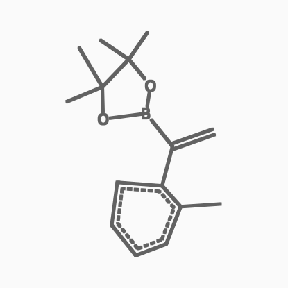 C=C(B1OC(C)(C)C(C)(C)O1)c1ccccc1C